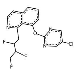 FCC(F)C(F)Cc1nccc2cccc(Oc3ncc(Cl)cn3)c12